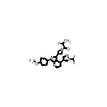 C=C(F)C(=O)N1CC(c2nn(-c3ccc(OC(F)(F)F)cc3)c3nccc(-c4cnn(C(F)F)c4)c23)C1